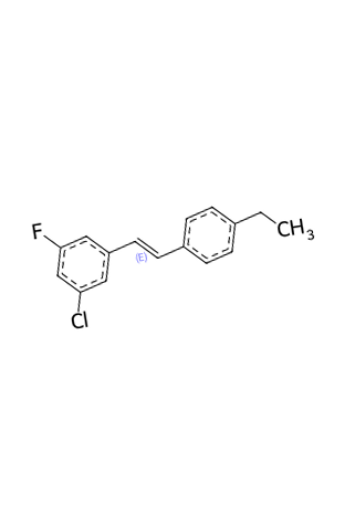 CCc1ccc(/C=C/c2cc(F)cc(Cl)c2)cc1